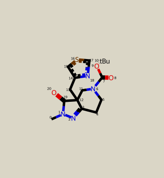 CN1N=C2CCN(C(=O)OC(C)(C)C)CC2(Cc2cscn2)C1=O